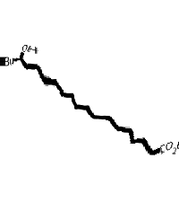 CCCC[C@@H](O)C=CCCCCCCCCCCCCCC(=O)OCC